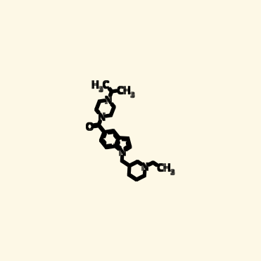 CCN1CCCC(Cn2ccc3cc(C(=O)N4CCN(C(C)C)CC4)ccc32)C1